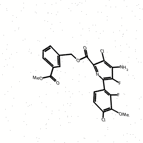 COC(=O)c1cccc(COC(=O)c2nc(-c3ccc(Cl)c(OC)c3F)c(F)c(N)c2Cl)c1